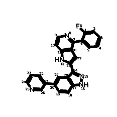 Fc1ccccc1-c1nccc2[nH]c(-c3n[nH]c4ccc(-c5cccnc5)cc34)cc12